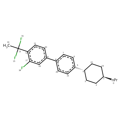 CCC[C@H]1CC[C@H](c2ccc(-c3ccc(C(C)(F)F)c(F)c3)cc2)CC1